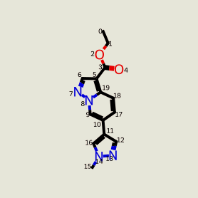 CCOC(=O)c1cnn2cc(-c3cnn(C)c3)ccc12